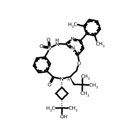 Cc1cccc(C)c1-c1cc2nc(n1)NS(=O)(=O)c1cccc(c1)C(=O)N([C@H]1C[C@@H](C(C)(C)O)C1)[C@H](CC(C)(C)C)CO2